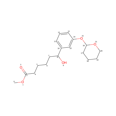 COC(=O)CCCCC(O)c1cccc(OC2CCCCO2)c1